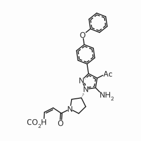 CC(=O)c1c(-c2ccc(Oc3ccccc3)cc2)nn([C@@H]2CCN(C(=O)/C=C\C(=O)O)C2)c1N